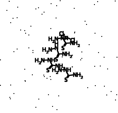 NNC(N)=S.NNC(N)=S.NNC(N)=S.NNC(N)=S.[Cl][Co][Cl]